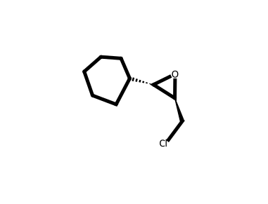 ClC[C@@H]1O[C@H]1C1CCCCC1